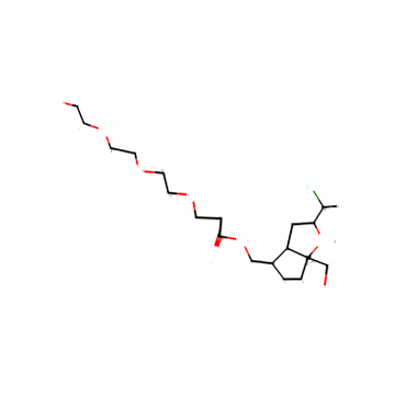 CCC(Br)C1CC2C(COC(=O)CCOCCOCCOCCO)CCC2(CO)O1